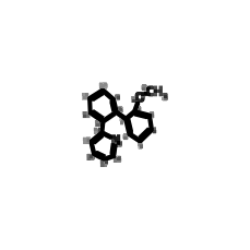 COc1ccccc1-c1ccccc1-c1ccccn1